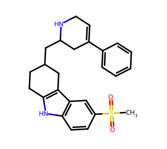 CS(=O)(=O)c1ccc2[nH]c3c(c2c1)CC(CC1CC(c2ccccc2)=CCN1)CC3